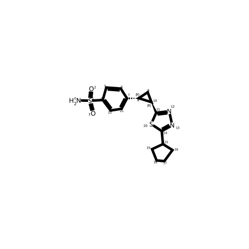 NS(=O)(=O)c1ccc([C@@H]2C[C@H]2c2nnc(C3CCCC3)s2)cc1